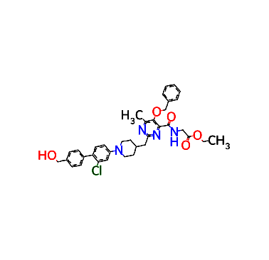 CCOC(=O)CNC(=O)c1nc(CC2CCN(c3ccc(-c4ccc(CO)cc4)c(Cl)c3)CC2)nc(C)c1OCc1ccccc1